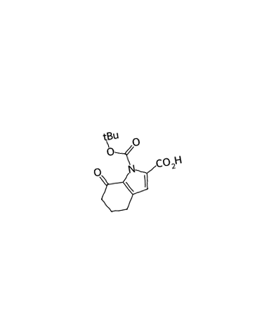 CC(C)(C)OC(=O)n1c(C(=O)O)cc2c1C(=O)CCC2